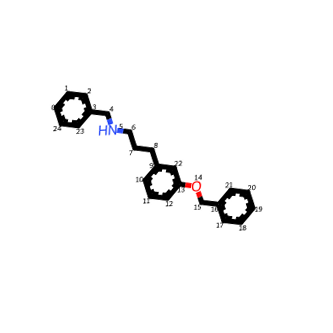 c1ccc(CNCCCc2cccc(OCc3ccccc3)c2)cc1